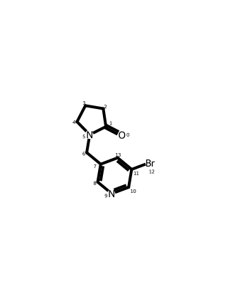 O=C1CCCN1Cc1cncc(Br)c1